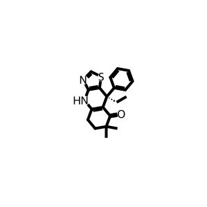 CC[C@]1(c2ccccc2)C2=C(CCC(C)(C)C2=O)Nc2ncsc21